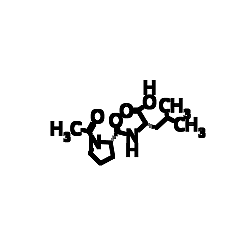 CC(=O)N1CCC[C@H]1C(=O)N[C@@H](CC(C)C)C(=O)O